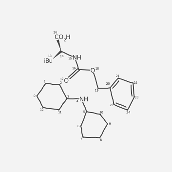 C1CCC(NC2CCCCC2)CC1.CC[C@H](C)[C@H](NC(=O)OCc1ccccc1)C(=O)O